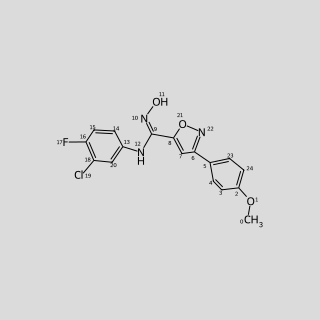 COc1ccc(-c2cc(/C(=N\O)Nc3ccc(F)c(Cl)c3)on2)cc1